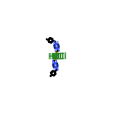 Cc1ccc(CN2CCN(CCSSCCN3CCN(Cc4ccc(C)cc4)CC3)CC2)cc1.Cl.Cl.Cl.Cl